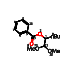 CCCCC(OC(=O)c1ccccc1)C(OC)OC